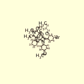 CCCCOc1cc(Br)ccc1[C@@H]1[C@H](O[C@@]2(C)O[C@H](c3ccccc3)[C@H](C)N(C)C2=O)C(=O)N1c1ccc(OC)cc1